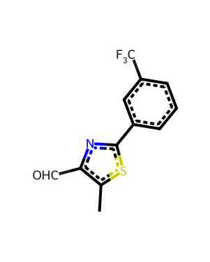 Cc1sc(-c2cccc(C(F)(F)F)c2)nc1C=O